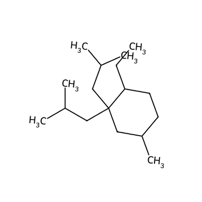 CCC1CCC(C)CC1(CC(C)C)CC(C)C